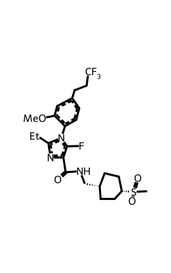 CCc1nc(C(=O)NC[C@H]2CC[C@@H](S(C)(=O)=O)CC2)c(F)n1-c1ccc(CCC(F)(F)F)cc1OC